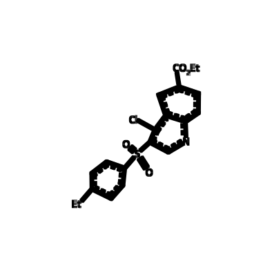 CCOC(=O)c1ccc2ncc(S(=O)(=O)c3ccc(CC)cc3)c(Cl)c2c1